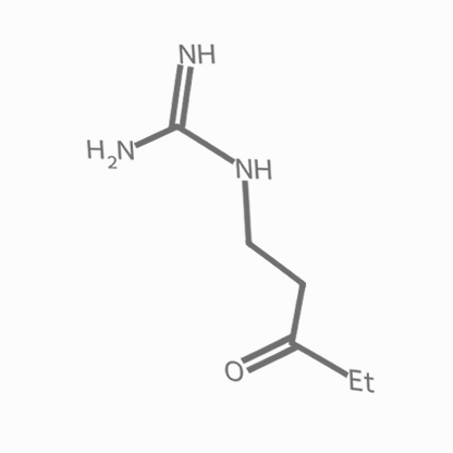 CCC(=O)CCNC(=N)N